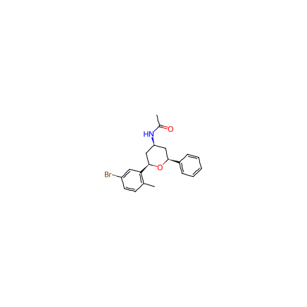 CC(=O)N[C@H]1C[C@@H](c2ccccc2)O[C@@H](c2cc(Br)ccc2C)C1